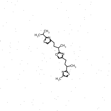 Cc1csc(C(C)CCc2coc(C(C)CCc3csc(C(C)C)n3)n2)n1